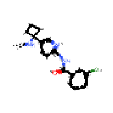 CNC1(c2ccc(NC(=O)c3cccc(Cl)c3)nc2)CCC1